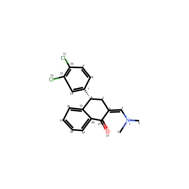 CN(C)C=C1C[C@@H](c2ccc(Cl)c(Cl)c2)c2ccccc2C1=O